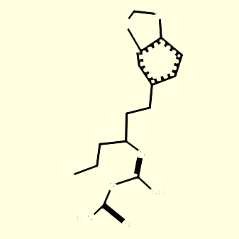 CCCC(CCc1ccc2c(c1)OCO2)N=C(N)NC(=N)N